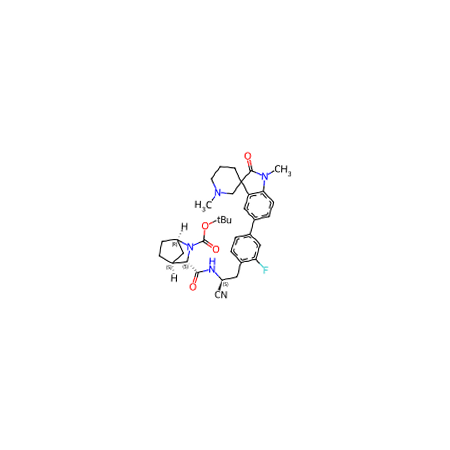 CN1CCCC2(C1)C(=O)N(C)c1ccc(-c3ccc(C[C@@H](C#N)NC(=O)[C@@H]4[C@H]5CC[C@H](C5)N4C(=O)OC(C)(C)C)c(F)c3)cc12